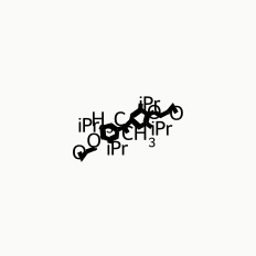 CC(C)c1cc(C(C)(C)c2cc(C(C)C)c(OCC3CO3)c(C(C)C)c2)cc(C(C)C)c1OCC1CO1